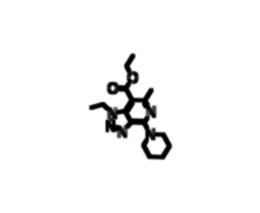 CCOC(=O)c1c(C)nc(N2CCCCC2)c2nnn(CC)c12